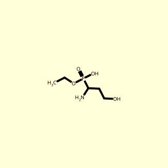 CCOP(=O)(O)C(N)CCO